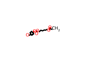 C=CC(=O)OCCCCCCOC(=O)Oc1ccc(C=O)cc1